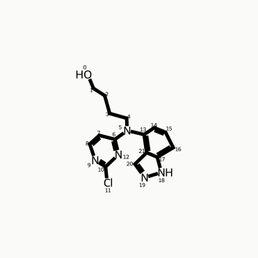 OCCCCN(c1ccnc(Cl)n1)c1cccc2[nH]ncc12